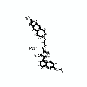 CCCc1nc2cc3c(cc2o1)CCN(CCCSc1nnc(-c2cccc4nc(C)ccc24)n1C)CC3.Cl